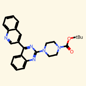 CC(C)(C)OC(=O)N1CCN(c2nc(-c3cnc4ccccc4c3)c3ccccc3n2)CC1